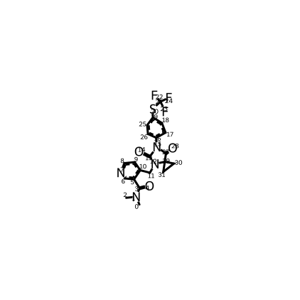 CN(C)C(=O)c1cnccc1CN1C(=O)N(c2ccc(SC(F)(F)F)cc2)C(=O)C12CC2